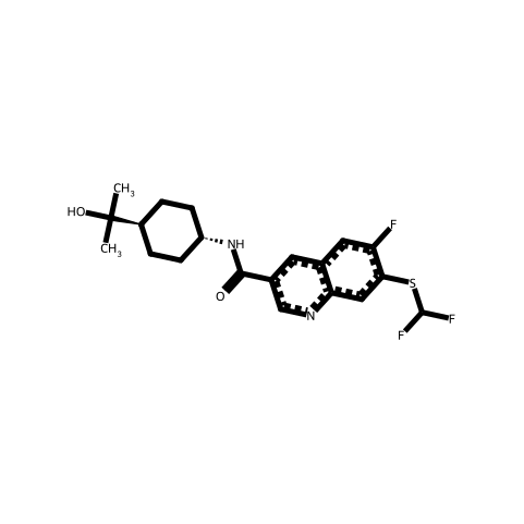 CC(C)(O)[C@H]1CC[C@H](NC(=O)c2cnc3cc(SC(F)F)c(F)cc3c2)CC1